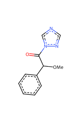 COC(C(=O)n1cncn1)c1ccccc1